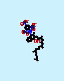 C/C(=C\Cc1c(C)c(/N=N/c2c([N+](=O)[O-])cc([N+](=O)[O-])cc2[N+](=O)[O-])c2ccccc2c1O)CCCC(C)CCCC(C)CCCC(C)C